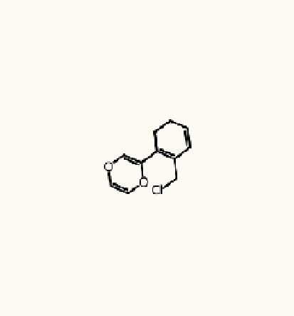 ClCC1=C(C2=COC=CO2)CCC=C1